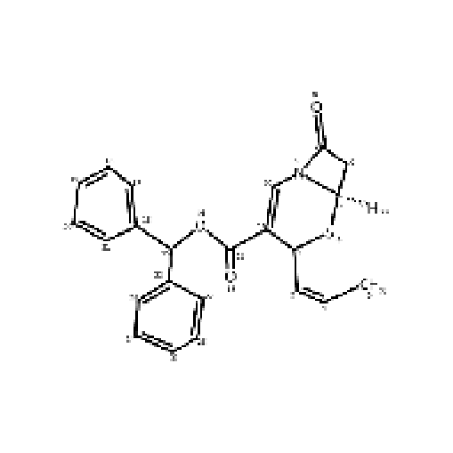 C/C=C\C1S[C@@H]2CC(=O)N2C=C1C(=O)OC(c1ccccc1)c1ccccc1